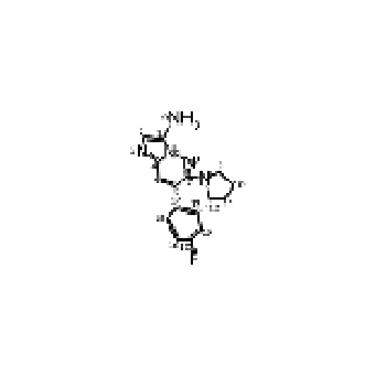 Nc1cnc2ccc(N3CCC[C@@H]3c3cccc(F)c3)nn12